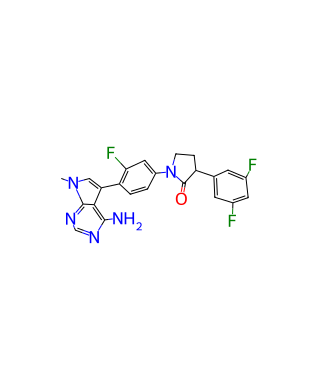 Cn1cc(-c2ccc(N3CCC(c4cc(F)cc(F)c4)C3=O)cc2F)c2c(N)ncnc21